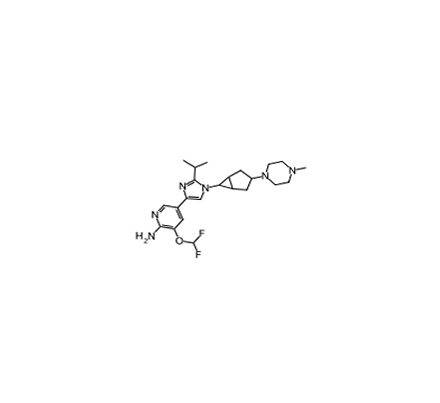 CC(C)c1nc(-c2cnc(N)c(OC(F)F)c2)cn1C1C2CC(N3CCN(C)CC3)CC21